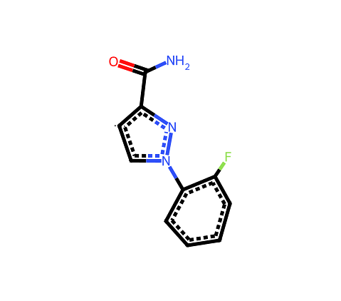 NC(=O)c1[c]cn(-c2ccccc2F)n1